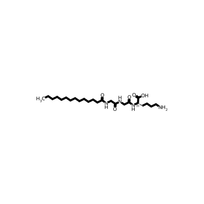 CCCCCCCCCCCCCC(=O)NCC(=O)NCC(=O)N[C@@H](CCCCN)C(=O)O